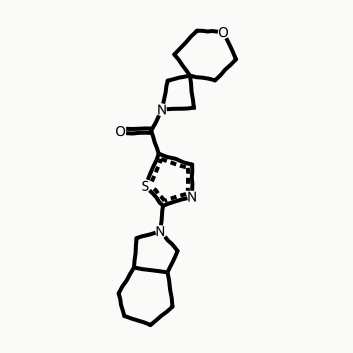 O=C(c1cnc(N2CC3CCCCC3C2)s1)N1CC2(CCOCC2)C1